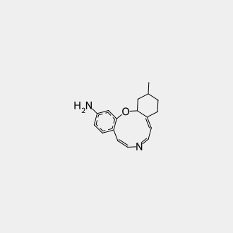 CC1CCC2=CC=NC=Cc3ccc(N)cc3OC2C1